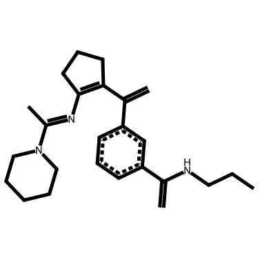 C=C(NCCC)c1cccc(C(=C)C2=C(/N=C(\C)N3CCCCC3)CCC2)c1